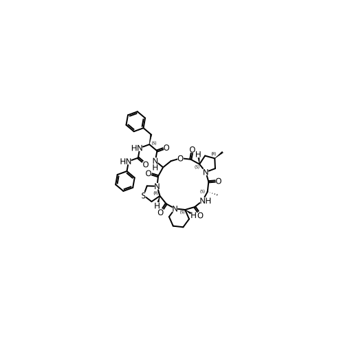 C[C@@H]1C[C@H]2C(=O)OCC(NC(=O)[C@H](Cc3ccccc3)NC(=O)Nc3ccccc3)C(=O)N3CSC[C@H]3C(=O)N3CCCC[C@H]3C(=O)N[C@@H](C)C(=O)N2C1